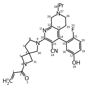 C=CC(=O)N1CC2(CCN(c3nc4c(c(-c5cc(O)ccc5F)c3C#N)CCN(C(C)C)C4)C2)C1